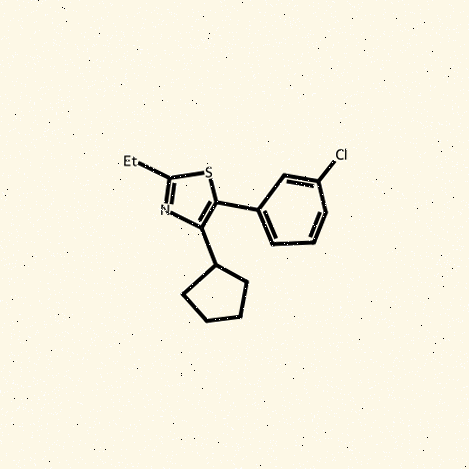 CCc1nc(C2CCCC2)c(-c2cccc(Cl)c2)s1